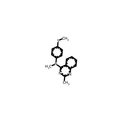 CSc1ccc(N(C)c2nc(C)nc3ccccc23)cc1